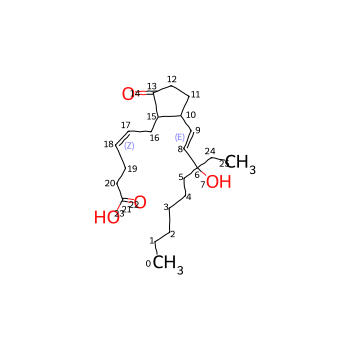 CCCCCCC(O)(/C=C/C1CCC(=O)C1C/C=C\CCC(=O)O)CC